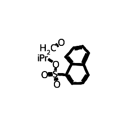 C=O.CC(C)OS(=O)(=O)c1cccc2ccccc12